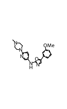 COc1cccc(-c2cnc(Nc3ccc(N4CCN(C)CC4)nc3)o2)c1